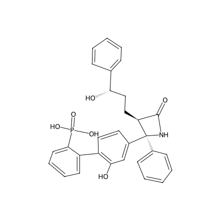 O=C1N[C@@](c2ccccc2)(c2ccc(-c3ccccc3P(=O)(O)O)c(O)c2)[C@H]1CC[C@H](O)c1ccccc1